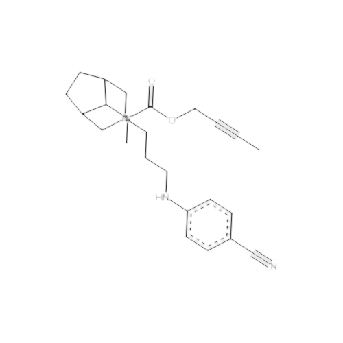 CC#CCOC(=O)N(C)C1C2CCC1CN(CCCNc1ccc(C#N)cc1)C2